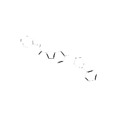 O=C(NC1CCNCC1)c1cc2ccc(OC3CCN(c4ccc(O)cc4)CC3)cc2o1